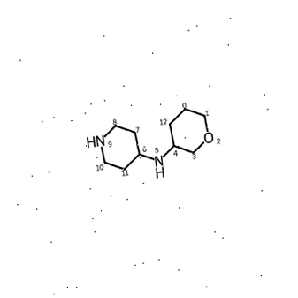 C1COCC(NC2CCNCC2)C1